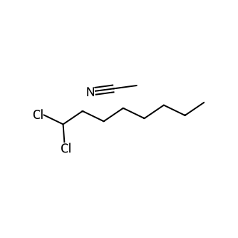 CC#N.CCCCCCCC(Cl)Cl